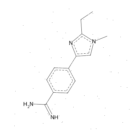 CCc1nc(-c2ccc(C(=N)N)cc2)cn1C